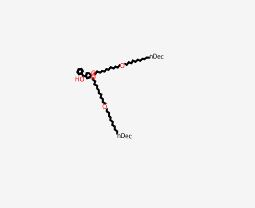 CCCCCCCCCCCCCCCCCCCCCCOCCCCCCCCCCCCOC1(OCCCCCCCCCCCCOCCCCCCCCCCCCCCCCCCCCCC)C=CC(C(O)c2ccccc2)=CC1